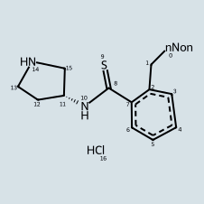 CCCCCCCCCCc1ccccc1C(=S)N[C@@H]1CCNC1.Cl